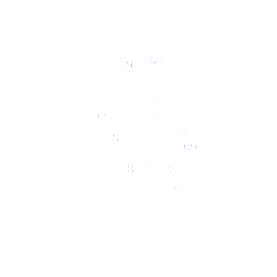 CCn1cnc2c(=O)[nH]cc(-c3cn[nH]c3)c21